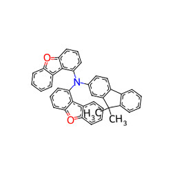 CC1(C)c2ccccc2-c2ccc(N(c3cccc4oc5ccccc5c34)c3cccc4oc5ccccc5c34)cc21